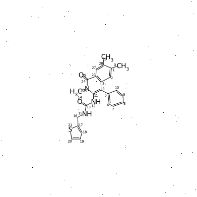 Cc1cc2c(-c3ccccc3)c(NC(=O)NCc3cccs3)n(C)c(=O)c2cc1C